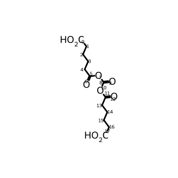 O=C(O)CCCCC(=O)OC(=O)OC(=O)CCCCC(=O)O